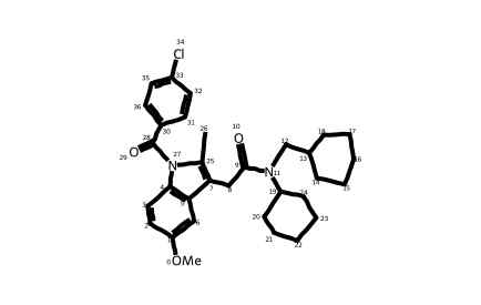 COc1ccc2c(c1)c(CC(=O)N(CC1CCCCC1)C1CCCCC1)c(C)n2C(=O)c1ccc(Cl)cc1